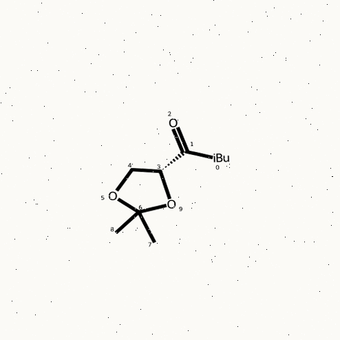 CCC(C)C(=O)[C@H]1COC(C)(C)O1